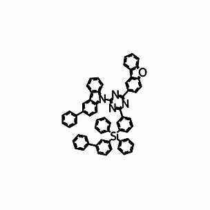 c1ccc(-c2cccc([Si](c3ccccc3)(c3ccccc3)c3cccc(-c4nc(-c5ccc6oc7ccccc7c6c5)nc(-n5c6ccccc6c6cc(-c7ccccc7)ccc65)n4)c3)c2)cc1